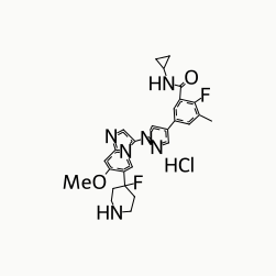 COc1cc2ncc(-n3cc(-c4cc(C)c(F)c(C(=O)NC5CC5)c4)cn3)n2cc1C1(F)CCNCC1.Cl